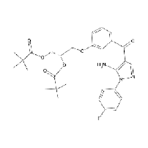 CC(C)(C)C(=O)OC[C@H](COc1cccc(C(=O)c2cnn(-c3ccc(F)cc3)c2N)c1)OC(=O)C(C)(C)C